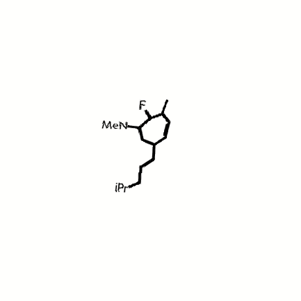 CNC1CC(CCCC(C)C)C=CC(C)C1F